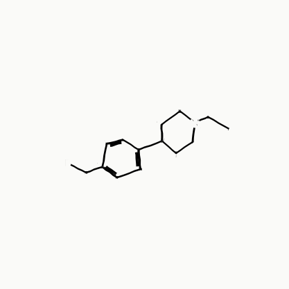 CCN1CCC(c2ccc(CF)cc2)CC1